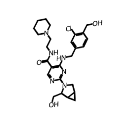 O=C(NCCN1CCCCC1)c1cnc(N2CC3CC3C2CO)nc1NCc1ccc(CO)c(Cl)c1